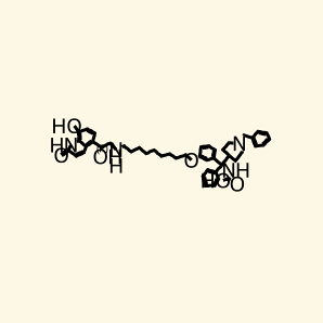 O=C(O)NC(c1ccccc1)(c1cccc(OCCCCCCCCCNC[C@H](O)c2ccc(O)c3[nH]c(=O)ccc23)c1)C1CCN(Cc2ccccc2)CC1